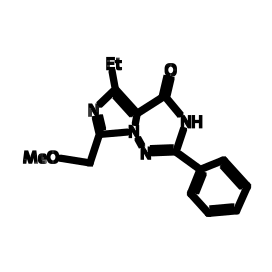 CCc1nc(COC)n2nc(-c3ccccc3)[nH]c(=O)c12